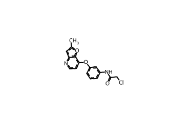 Cc1cc2nccc(Oc3cccc(NC(=O)CCl)c3)c2o1